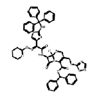 O=C(NC1C(=O)N2C(C(=O)OC(c3ccccc3)c3ccccc3)=C(CSc3ncns3)CS[C@@H]12)C(=NOC1CCCCO1)c1csc(NC(c2ccccc2)(c2ccccc2)c2ccccc2)n1